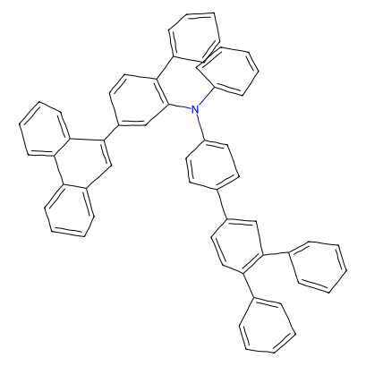 c1ccc(-c2ccc(-c3ccc(N(c4ccccc4)c4cc(-c5cc6ccccc6c6ccccc56)ccc4-c4ccccc4)cc3)cc2-c2ccccc2)cc1